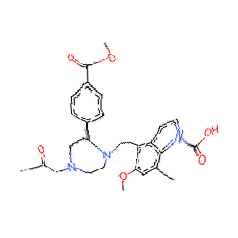 COC(=O)c1ccc(C2CN(CC(C)=O)CCN2Cc2c(OC)cc(C)c3c2ccn3C(=O)O)cc1